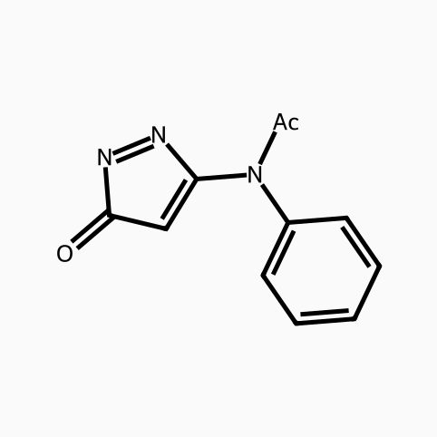 CC(=O)N(C1=CC(=O)N=N1)c1ccccc1